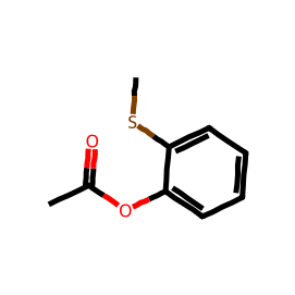 CSc1ccccc1OC(C)=O